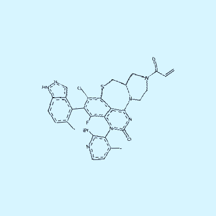 C=CC(=O)N1CCN2c3nc(=O)n(-c4c(C)ccnc4C(C)C)c4c(F)c(-c5c(C)ccc6[nH]ncc56)c(Cl)c(c34)SCC2C1